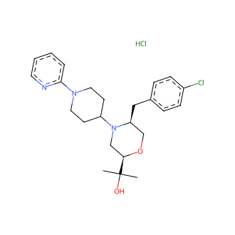 CC(C)(O)[C@H]1CN(C2CCN(c3ccccn3)CC2)[C@@H](Cc2ccc(Cl)cc2)CO1.Cl